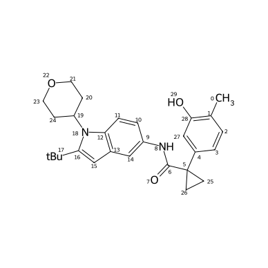 Cc1ccc(C2(C(=O)Nc3ccc4c(c3)cc(C(C)(C)C)n4C3CCOCC3)CC2)cc1O